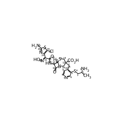 CC(N)CSc1cnccc1SC1(C(=O)O)CS[C@@H]2[C@H](NC(=O)C(=NO)c3nc(N)sc3Cl)C(=O)N2C1